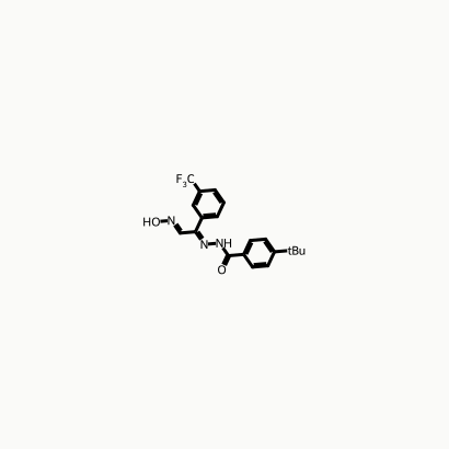 CC(C)(C)c1ccc(C(=O)NN=C(C=NO)c2cccc(C(F)(F)F)c2)cc1